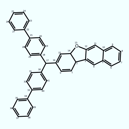 C1=CC2c3cc4ccccc4cc3OC2C=C1C(c1ccc(-c2ccccc2)cc1)c1ccc(-c2ccccc2)cc1